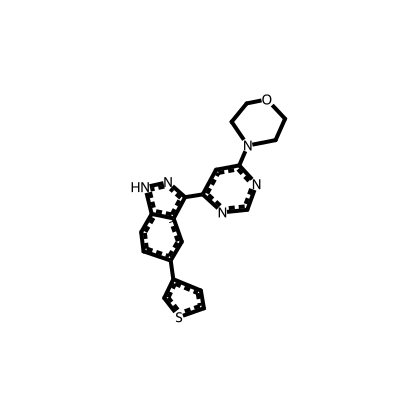 c1nc(-c2n[nH]c3ccc(-c4ccsc4)cc23)cc(N2CCOCC2)n1